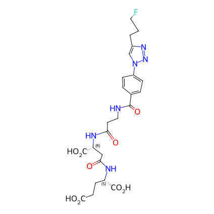 O=C(O)CC[C@H](NC(=O)C[C@@H](NC(=O)CCNC(=O)c1ccc(-n2cc(CCCF)nn2)cc1)C(=O)O)C(=O)O